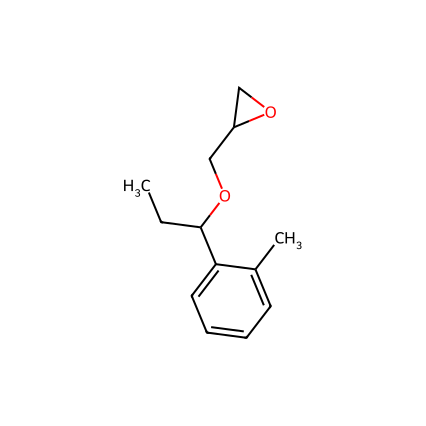 CCC(OCC1CO1)c1ccccc1C